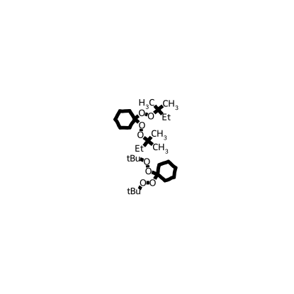 CC(C)(C)OOC1(OOC(C)(C)C)CCCCC1.CCC(C)(C)OOC1(OOC(C)(C)CC)CCCCC1